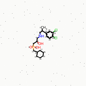 CC(CNCC(O)CP(=O)(O)CC1CCCCC1)c1ccc(Cl)c(Cl)c1